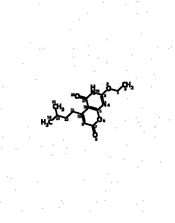 CCOc1nc2oc(=O)cc(CCC(C)C)c2c(=O)[nH]1